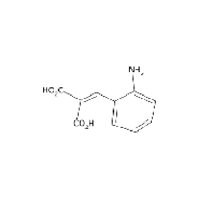 Nc1ccccc1C=C(C(=O)O)C(=O)O